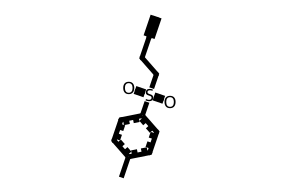 C#CCCS(=O)(=O)c1ccc(C)cc1